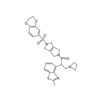 Cc1nc2c(C(CN3CCC3)C(=O)N3CC4=C(C3)CN(S(=O)(=O)c3ccc5c(c3)OCCO5)C4)cccc2s1